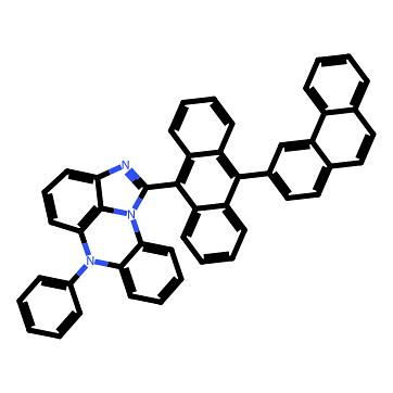 c1ccc(N2c3ccccc3-n3c(-c4c5ccccc5c(-c5ccc6ccc7ccccc7c6c5)c5ccccc45)nc4cccc2c43)cc1